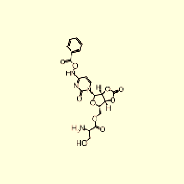 N[C@H](CO)C(=O)OC[C@H]1O[C@@H](n2ccc(NOC(=O)c3ccccc3)nc2=O)[C@@H]2OC(=O)O[C@@H]21